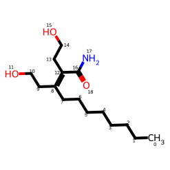 CCCCCCCCC(CCO)=C(CCO)C(N)=O